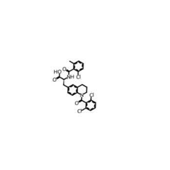 Cc1cccc(Cl)c1C(=O)N[C@@H](Cc1ccc2c(c1)CCCN2C(=O)c1c(Cl)cccc1Cl)C(=O)O